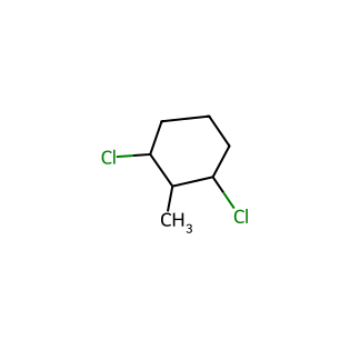 CC1C(Cl)CCCC1Cl